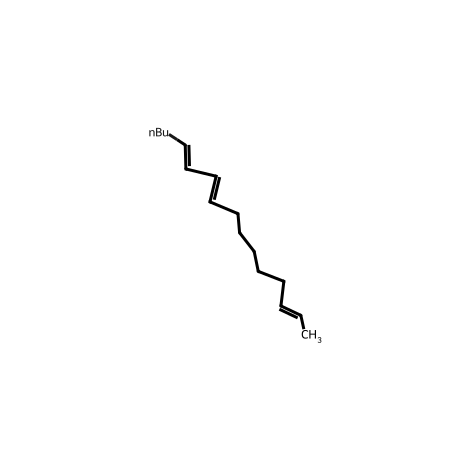 CC=CCCCCCC=CC=CCCCC